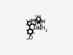 COc1ccc(-c2ccsc2C(=O)N2[C@@H]3CC[C@@H](C3)[C@H]2CN)cc1